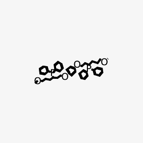 COCCCC(CCOc1ccc(OCCC(CCCOC)P(c2ccccc2)c2ccccc2)cc1)P(c1ccccc1)c1ccccc1